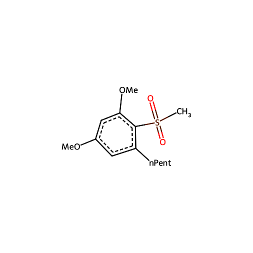 CCCCCc1cc(OC)cc(OC)c1S(C)(=O)=O